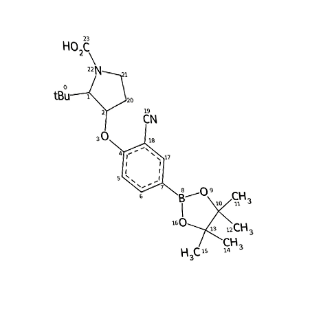 CC(C)(C)C1C(Oc2ccc(B3OC(C)(C)C(C)(C)O3)cc2C#N)CCN1C(=O)O